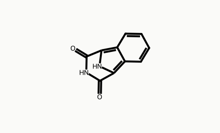 O=c1[nH]c(=O)c2[nH]c1c1ccccc21